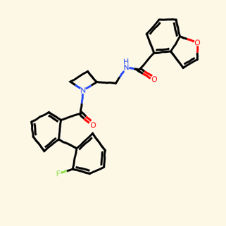 O=C(NCC1CCN1C(=O)c1ccccc1-c1ccccc1F)c1cccc2occc12